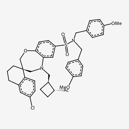 COc1ccc(CN(Cc2ccc(OC)cc2)S(=O)(=O)c2ccc3c(c2)N(C[C@@H]2CC[C@H]2C(C)=O)C[C@@]2(CCCc4cc(Cl)ccc42)CO3)cc1